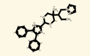 CCC(Cn1cccn1)C1(C)COC(c2nc(-c3ccccc3)c(-c3ccccc3)[nH]2)OC1